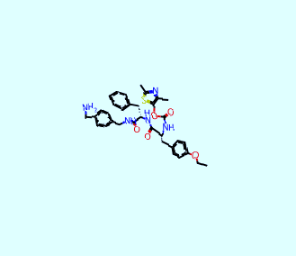 CCOc1ccc(C[C@@H](NC(=O)Oc2sc(C)nc2C)C(=O)N[C@@H](Cc2ccccc2)C(=O)NCc2ccc(CN)cc2)cc1